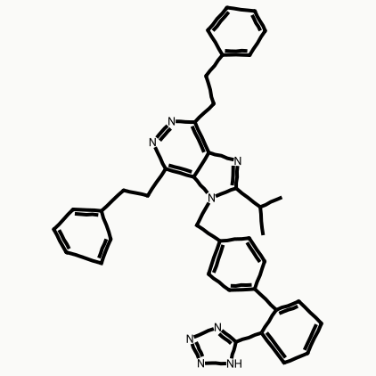 CC(C)c1nc2c(CCc3ccccc3)nnc(CCc3ccccc3)c2n1Cc1ccc(-c2ccccc2-c2nnn[nH]2)cc1